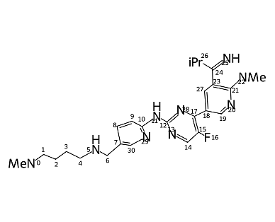 CNCCCCNCc1ccc(Nc2ncc(F)c(-c3cnc(NC)c(C(=N)C(C)C)c3)n2)nc1